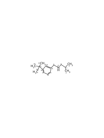 CC(C)CNCc1cccc(C(C)(C)C)c1